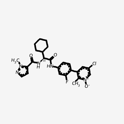 Cc1c(-c2ccc(NC(=O)[C@@H](NC(=O)c3ccnn3C)C3CCCCC3)cc2F)cc(Cl)c[n+]1[O-]